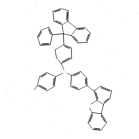 CC(C)(C)c1ccc(N(C2=CC=C(C3(c4ccccc4)c4ccccc4-c4ccccc43)CC2)c2ccc(-c3cccc4c3oc3ccccc34)cc2)cc1